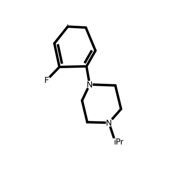 CC(C)N1CCN(C2=CC[CH]C=C2F)CC1